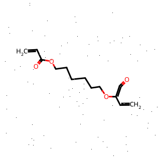 C=CC(=O)OCCCCCCOC(=C=O)C=C